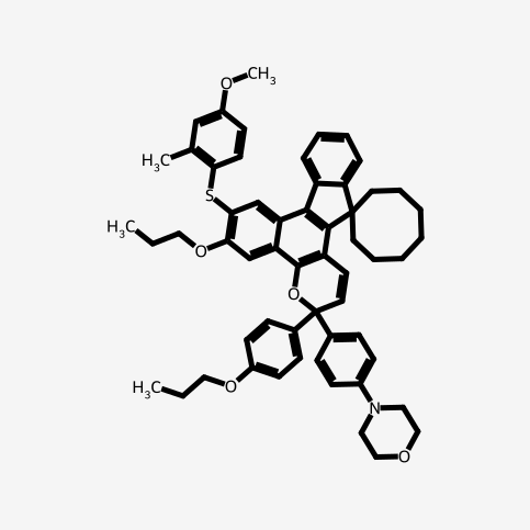 CCCOc1ccc(C2(c3ccc(N4CCOCC4)cc3)C=Cc3c4c(c5cc(Sc6ccc(OC)cc6C)c(OCCC)cc5c3O2)-c2ccccc2C42CCCCCCC2)cc1